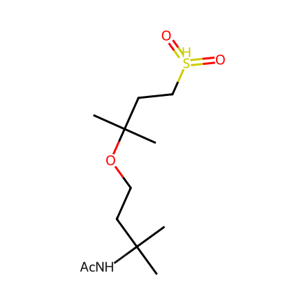 CC(=O)NC(C)(C)CCOC(C)(C)CC[SH](=O)=O